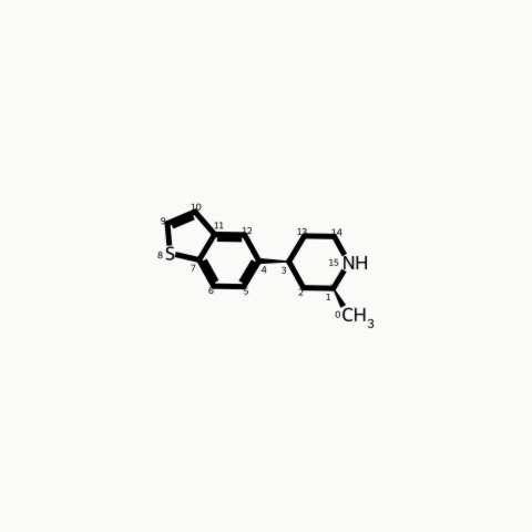 C[C@H]1C[C@@H](c2ccc3sccc3c2)CCN1